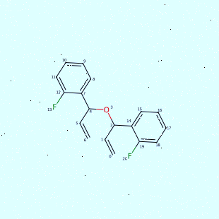 C=CC(OC(C=C)c1ccccc1F)c1ccccc1F